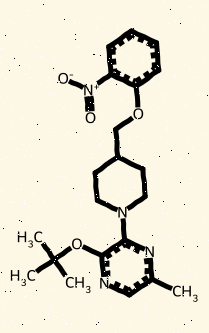 Cc1cnc(OC(C)(C)C)c(N2CCC(COc3ccccc3[N+](=O)[O-])CC2)n1